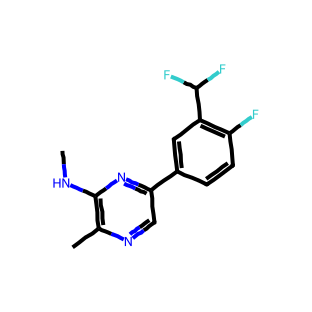 CNc1nc(-c2ccc(F)c(C(F)F)c2)cnc1C